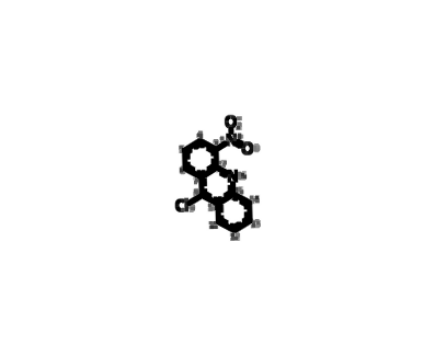 O=[N+]([O-])c1cccc2c(Cl)c3ccccc3nc12